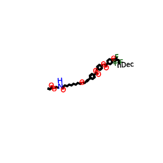 C=CC(=O)OCCNC(=O)CCCCCCCCOCC#Cc1ccc(C(=O)Oc2ccc(OC(=O)C3CCC(OC(F)(F)CC(F)(F)CCCCCCCCCC)CC3)cc2)cc1